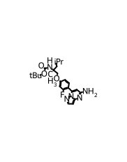 CC(C)CC(C)(COc1ccc(-c2cc(N)nc3ccnn23)c(F)c1)NC(=O)OC(C)(C)C